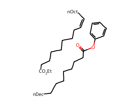 CCCCCCCC/C=C\CCCCCCCC(=O)OCC.CCCCCCCCCCCCCCCCCC(=O)Oc1ccccc1